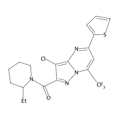 CCC1CCCCN1C(=O)c1nn2c(C(F)(F)F)cc(-c3cccs3)nc2c1Cl